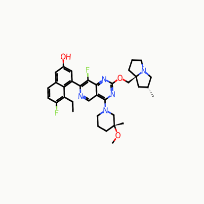 CCc1c(F)ccc2cc(O)cc(-c3ncc4c(N5CCC[C@@](C)(OC)C5)nc(OC[C@@]56CCCN5C[C@H](C)C6)nc4c3F)c12